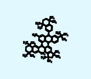 Cc1cc2c3c(c1)N(c1cc4c(cc1C)C(C)(C)CCC4(C)C)c1cc4c(cc1B3c1ccc(C(C)(C)C)cc1N2c1ccc2c(c1)C(C)(C)CCC2(C)C)C(C)(C)CC4(C)C